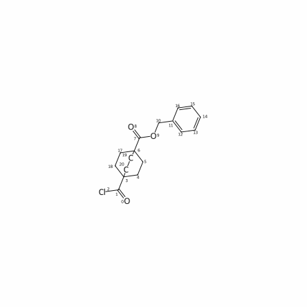 O=C(Cl)C12CCC(C(=O)OCc3ccccc3)(CC1)CC2